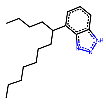 CCCCCCCC(CCCC)c1cccc2[nH]nnc12